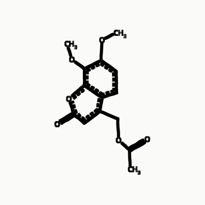 COc1ccc2c(COC(C)=O)cc(=O)oc2c1OC